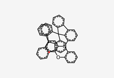 c1ccc(C23c4ccccc4-c4cccc(c42)C2(c4ccccc4-c4cccc(N5c6ccccc6Oc6ccccc65)c42)c2ccccc23)cc1